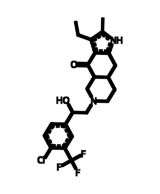 CCc1c(C)[nH]c2c1C(=O)C1CN(CC(O)c3ccc(Cl)c(C(F)(F)F)c3)CCC1C2